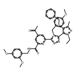 CCn1nc(C)c(OCc2ccccc2)c1-c1nnc(-c2cc(C(C)=O)cc(C(=O)NCc3ccc(OC)cc3OC)n2)n1Cc1ccc(OC)cc1